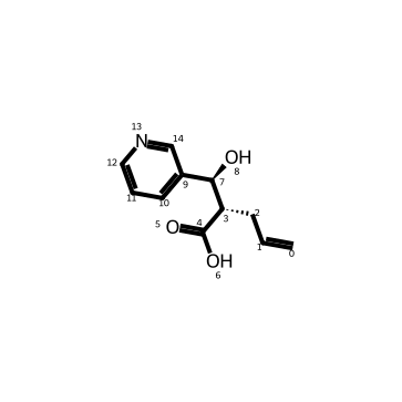 C=CC[C@H](C(=O)O)[C@H](O)c1cccnc1